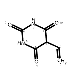 C=CC1C(=O)NC(=O)NC1=O